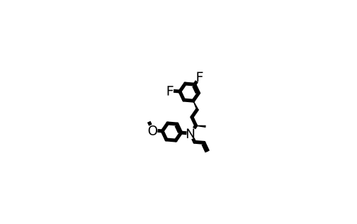 C=CCN(C1=CCC(OC)CC1)[C@H](C)CC[C@@H]1C=C(F)CC(F)C1